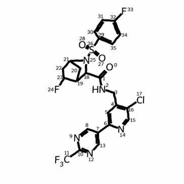 O=C(NCc1cc(-c2cnc(C(F)(F)F)nc2)ncc1Cl)C1C2CC(CC2F)N1S(=O)(=O)c1ccc(F)cc1